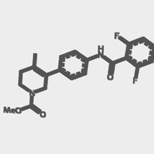 COC(=O)N1CCC(C)=C(c2ccc(NC(=O)c3c(F)cccc3F)cc2)C1